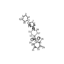 Cc1cccc(-c2csc(N3CCC(S(=O)(=O)c4c(C)c(C)cc(C)c4C)CC3)n2)c1